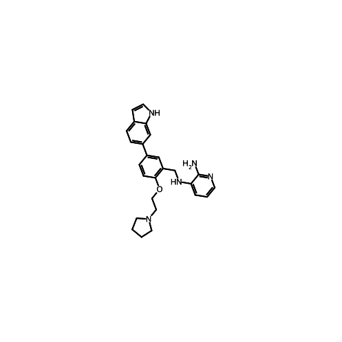 Nc1ncccc1NCc1cc(-c2ccc3cc[nH]c3c2)ccc1OCCN1CCCC1